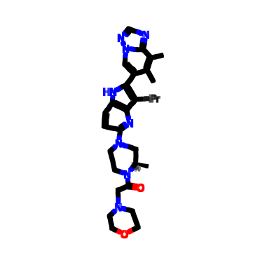 Cc1c(-c2[nH]c3ccc(N4CCN(C(=O)CN5CCOCC5)[C@H](C)C4)nc3c2C(C)C)cn2ncnc2c1C